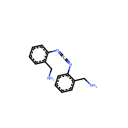 NCc1ccccc1N=C=Nc1ccccc1CN